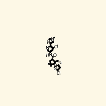 Cn1cnc(-c2ncc(NC(=O)[C@H]3CC(C)(C)c4c3cnc3cc(Cl)nn43)cc2Cl)c1